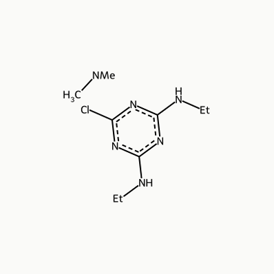 CCNc1nc(Cl)nc(NCC)n1.CNC